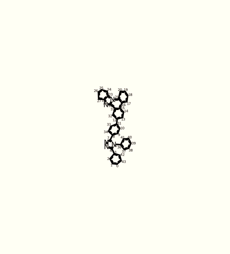 c1ccc(-c2nnc(-c3ccc(-c4ccc5c6ccccc6n6c7ccccc7nc6c5c4)cc3)n2-c2ccccc2)cc1